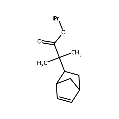 CC(C)OC(=O)C(C)(C)C1CC2C=CC1C2